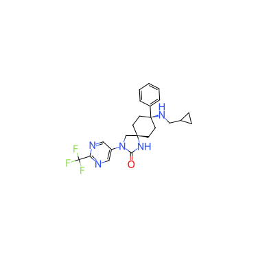 O=C1N[C@]2(CC[C@@](NCC3CC3)(c3ccccc3)CC2)CN1c1cnc(C(F)(F)F)nc1